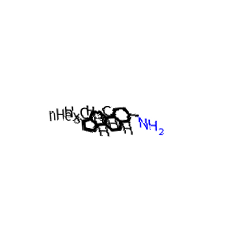 CCCCCC[C@H]1CC[C@H]2[C@@H]3CC[C@H]4C[C@H](CN)CC[C@]4(C)[C@H]3CC[C@]12C